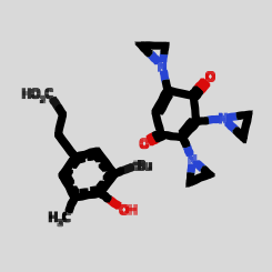 Cc1cc(CCC(=O)O)cc(C(C)(C)C)c1O.O=C1C=C(N2CC2)C(=O)C(N2CC2)=C1N1CC1